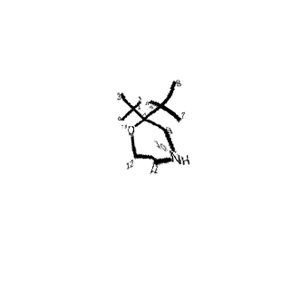 CC(C)(C)C1(C(C)(C)C)CNCCO1